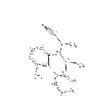 Cc1cccc(N(C(C)C#N)C(C)c2ccccc2)c1